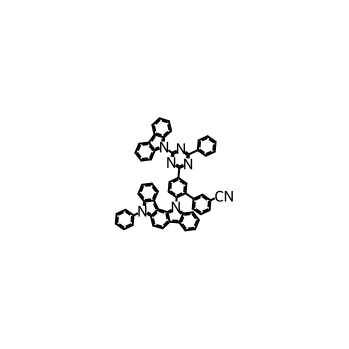 N#Cc1cccc(-c2cc(-c3nc(-c4ccccc4)nc(-n4c5ccccc5c5ccccc54)n3)ccc2-n2c3ccccc3c3ccc4c(c5ccccc5n4-c4ccccc4)c32)c1